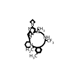 C=C1c2cc(C)ccc2CCC(C(F)(F)F)NCCN(C)c2cc(N3CCC3)nc3cc(nn23)C2CCCCN12